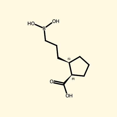 O=C(O)[C@@H]1CCC[C@@H]1CCCB(O)O